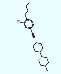 CCCCc1ccc(C#C[C@H]2CC[C@H]([C@H]3CC[C@H](C)CC3)CC2)cc1F